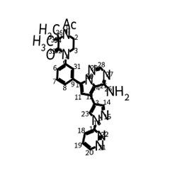 CC(=O)N1CCN(c2cccc(-c3cc(-c4cnn(-c5cccnn5)c4)c4c(N)ncnn34)c2)C(=O)C1(C)C